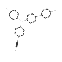 Cc1ccc(-c2ccc(N(c3ccc(C)cc3)c3ccc(C#CC(=O)O)cc3)cc2)cc1